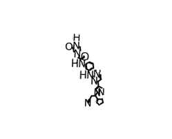 N#CCC(C1CCCC1)n1cc(-c2ccnc(Nc3cccc(NC(=O)CN4CCNC(=O)C4)c3)n2)cn1